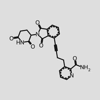 NC(=O)c1ncccc1CCC#Cc1cccc2c1C(=O)N(C1CCC(=O)NC1=O)C2=O